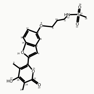 Cc1c(-c2cc3cc(OCCCNS(C)(=O)=O)ccc3o2)oc(=O)c(C)c1O